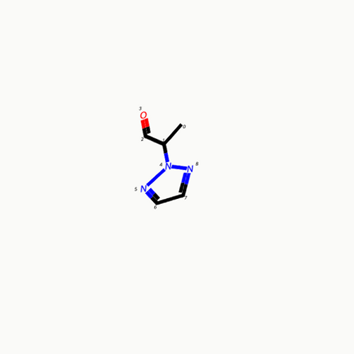 CC(C=O)n1nccn1